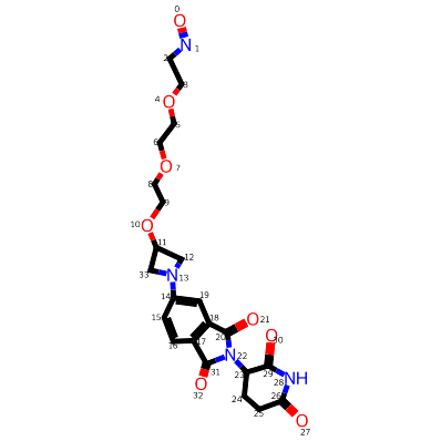 O=NCCOCCOCCOC1CN(c2ccc3c(c2)C(=O)N(C2CCC(=O)NC2=O)C3=O)C1